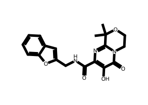 CC1(C)OCCn2c1nc(C(=O)NCc1cc3ccccc3o1)c(O)c2=O